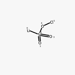 [Li][S](=O)(=O)OCl